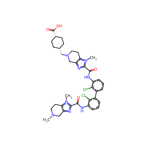 CN1CCc2c(nc(C(=O)Nc3cccc(-c4cccc(NC(=O)c5nc6c(n5C)CCN(C[C@H]5CC[C@@H](C(=O)O)CC5)C6)c4Cl)c3Cl)n2C)C1